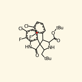 CC(C)(C)CC1NC(C(=O)OC(C)(C)C)C(c2cccc(Cl)c2F)C12C(=O)Nc1c2ccc(Cl)c1F